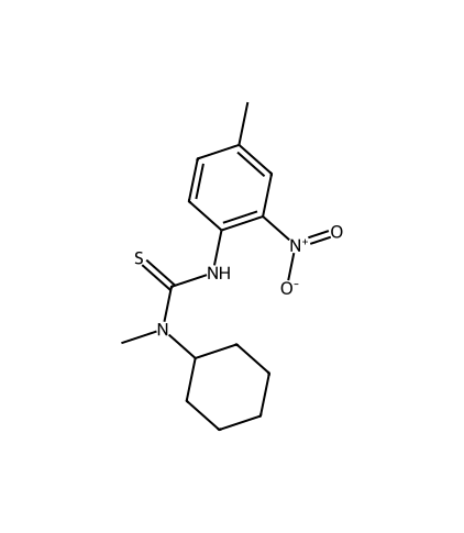 Cc1ccc(NC(=S)N(C)C2CCCCC2)c([N+](=O)[O-])c1